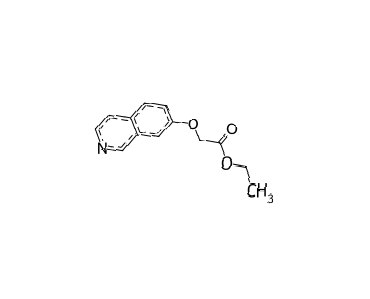 CCOC(=O)COc1ccc2ccncc2c1